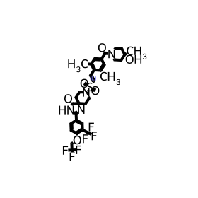 Cc1cc(C(=O)N2CCC(C)(O)CC2)cc(C)c1/C=C/S(=O)(=O)N1CCC2(CC1)N=C(c1ccc(OCC(F)(F)F)c(C(F)(F)F)c1)NC2=O